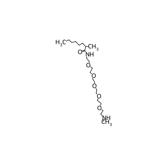 CCCCCCC(C)C(=O)NCCOCCOCCOCCOCCOCCNC